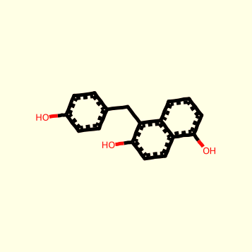 Oc1ccc(Cc2c(O)ccc3c(O)cccc23)cc1